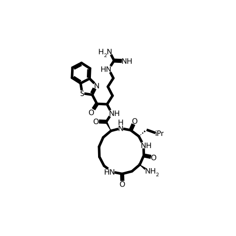 CC(C)C[C@@H]1NC(=O)[C@@H](N)CC(=O)NCCCC[C@@H](C(=O)NC(CCCNC(=N)N)C(=O)c2nc3ccccc3s2)NC1=O